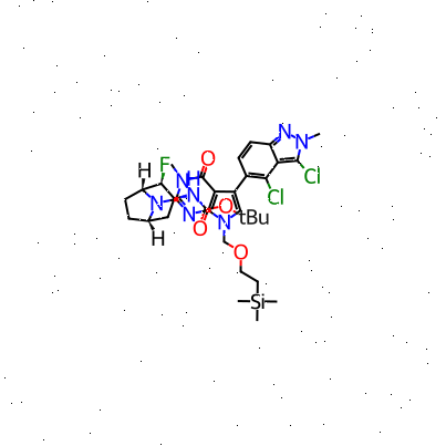 Cn1nc2ccc(-c3cn(COCC[Si](C)(C)C)c4nc(N5[C@H]6CC[C@@H]5[C@@H](F)[C@@H](NC(=O)OC(C)(C)C)C6)n(C)c(=O)c34)c(Cl)c2c1Cl